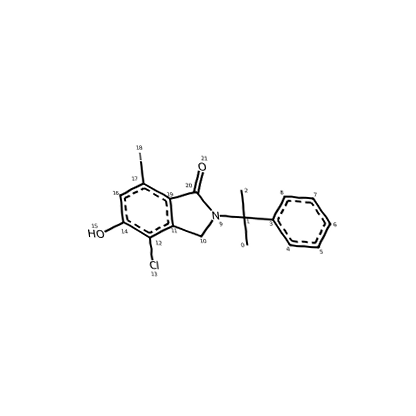 CC(C)(c1ccccc1)N1Cc2c(Cl)c(O)cc(I)c2C1=O